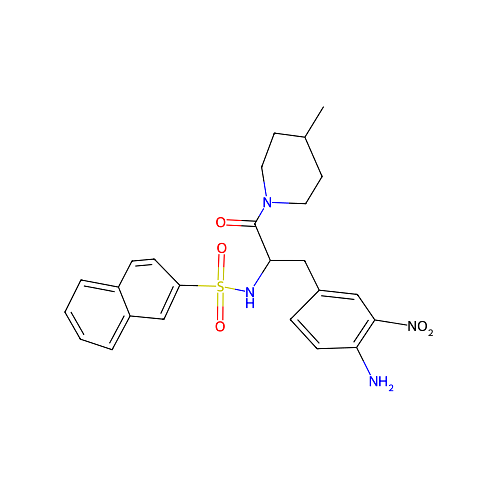 CC1CCN(C(=O)C(Cc2ccc(N)c([N+](=O)[O-])c2)NS(=O)(=O)c2ccc3ccccc3c2)CC1